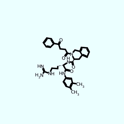 Cc1ccc(NC(=O)[C@H](CCCNC(=N)N)NC(=O)[C@@H]2Cc3ccccc3CN2C(=O)CCC(=O)c2ccccc2)cc1C